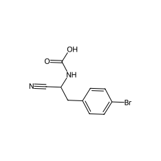 N#CC(Cc1ccc(Br)cc1)NC(=O)O